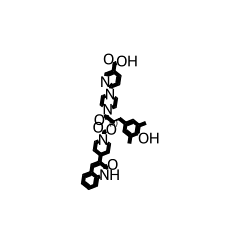 Cc1cc(C[C@@H](OC(=O)N2CCC(c3cc4ccccc4[nH]c3=O)CC2)C(=O)N2CCN(c3ccc(C(=O)O)cn3)CC2)cc(C)c1O